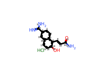 Cl.N=C(N)c1ccc2c(C=CC(N)=O)c(O)ccc2c1